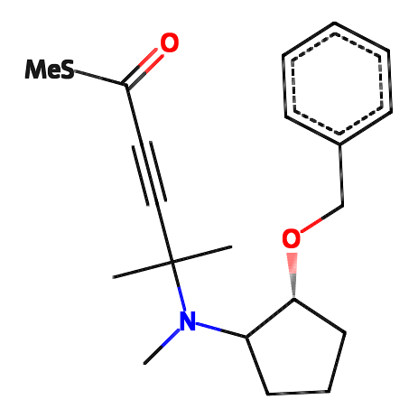 CSC(=O)C#CC(C)(C)N(C)C1CCC[C@H]1OCc1ccccc1